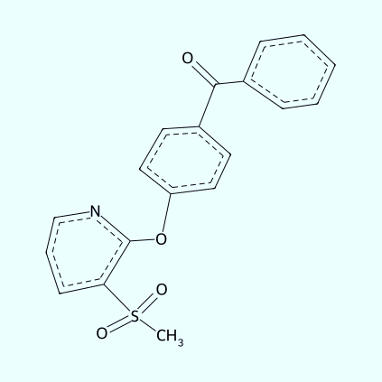 CS(=O)(=O)c1cccnc1Oc1ccc(C(=O)c2ccccc2)cc1